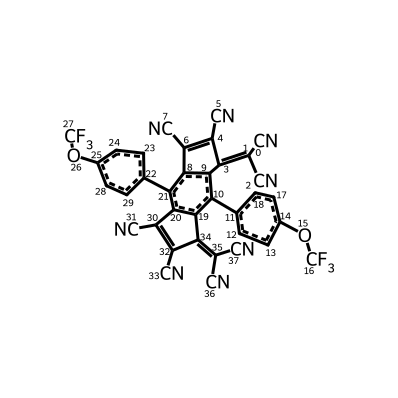 N#CC(C#N)=C1C(C#N)=C(C#N)c2c1c(-c1ccc(OC(F)(F)F)cc1)c1c(c2-c2ccc(OC(F)(F)F)cc2)C(C#N)=C(C#N)C1=C(C#N)C#N